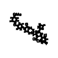 COC(=O)C1=C(CN2CCN3C(=O)N(c4ccc(Oc5ccc(OC)cc5)cc4)CC3C2)NC(c2nccs2)=NC1c1ccc(F)cc1Cl